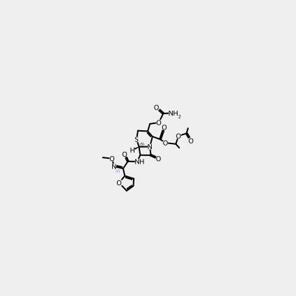 CO/N=C(\C(=O)NC1C(=O)N2C(C(=O)OC(C)OC(C)=O)=C(COC(N)=O)CS[C@@H]12)c1ccco1